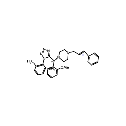 COc1ccccc1[C@@H](c1nnnn1-c1c(C)cccc1C)N1CCN(C/C=C/c2ccccc2)CC1